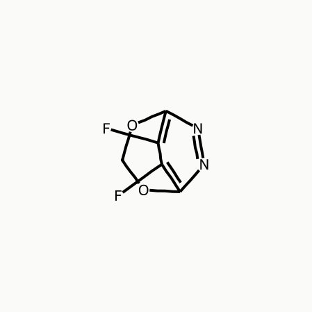 Fc1c2nnc(c1F)OCO2